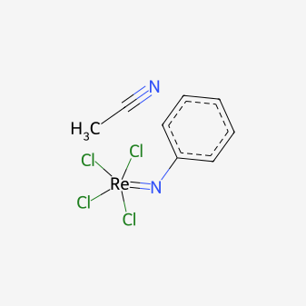 CC#N.[Cl][Re]([Cl])([Cl])([Cl])=[N]c1ccccc1